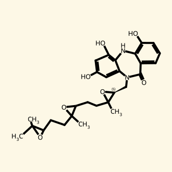 CC1(C)OC1CCC1(C)OC1CCC1(C)O[C@H]1CN1C(=O)c2cccc(O)c2Nc2c(O)cc(O)cc21